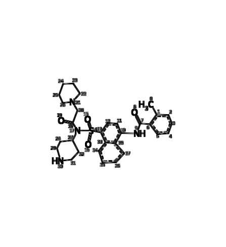 Cc1ccccc1C(=O)Nc1ccc(S(=O)(=O)N(C(=O)CN2CCCCC2)C2CCNCC2)c2ccccc12